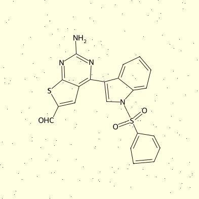 Nc1nc(-c2cn(S(=O)(=O)c3ccccc3)c3ccccc23)c2cc(C=O)sc2n1